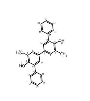 Cc1cc(-c2cc(C)c(O)c(-c3ccccc3)c2)cc(-c2ccccc2)c1O